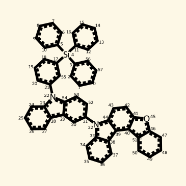 c1ccc([Si](c2ccccc2)(c2ccccc2)c2cccc(-n3c4ccccc4c4cc(-n5c6ccccc6c6c7c(ccc65)oc5ccccc57)ccc43)c2)cc1